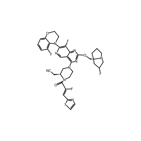 N#CC[C@H]1CN(c2nc(OC[C@@]34CCCN3CC(F)C4)nc3c(F)c(N4CCOc5cccc(F)c54)ncc23)CCN1C(=O)/C(F)=C/c1nccs1